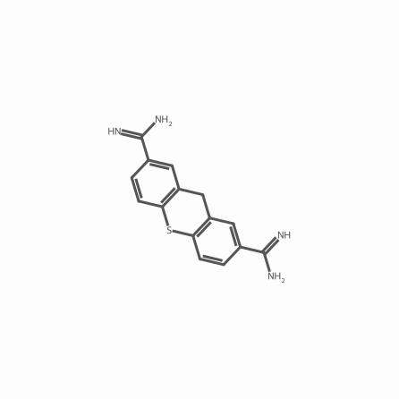 N=C(N)c1ccc2c(c1)Cc1cc(C(=N)N)ccc1S2